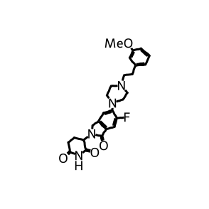 COc1cccc(CCN2CCN(c3cc4c(cc3F)C(=O)N(C3CCC(=O)NC3=O)C4)CC2)c1